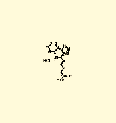 Cl.NC(CCCCB(O)O)c1nnnn1C1CCCCC1